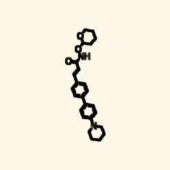 O=C(/C=C/c1ccc(-c2ccc(N3CCCCC3)cc2)cc1)NOC1CCCCO1